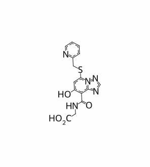 O=C(O)CNC(=O)c1c(O)cc(SCc2ccccn2)n2ncnc12